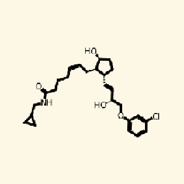 O=C(CCC/C=C\C[C@H]1[C@@H](O)CC[C@@H]1/C=C/[C@@H](O)COc1cccc(Cl)c1)NCC1CC1